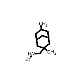 CCNCC1(C)CC2CC(C)CC(C2)C1